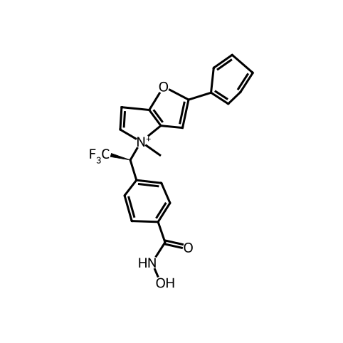 C[N+]1([C@@H](c2ccc(C(=O)NO)cc2)C(F)(F)F)C=Cc2oc(-c3ccccc3)cc21